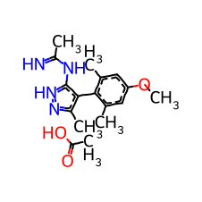 CC(=O)O.COc1cc(C)c(-c2c(C)n[nH]c2NC(C)=N)c(C)c1